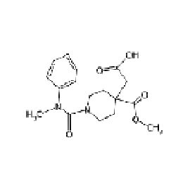 COC(=O)C1(CC(=O)O)CCN(C(=O)N(C)c2ccccc2)CC1